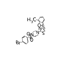 Cc1cccc(Cc2csc(N3CCN(S(=O)(=O)c4ccc(Br)cc4)CC3)n2)c1C